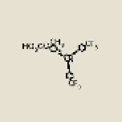 Cc1cc(SCc2cc(C#Cc3ccc(C(F)(F)F)cc3)nc(C#Cc3ccc(C(F)(F)F)cc3)c2)ccc1OCC(=O)O